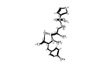 COC(=O)[C@H](Cc1ccc(O)cc1)N(N)/C=C(\N)CNS(=O)(=O)c1ccsc1